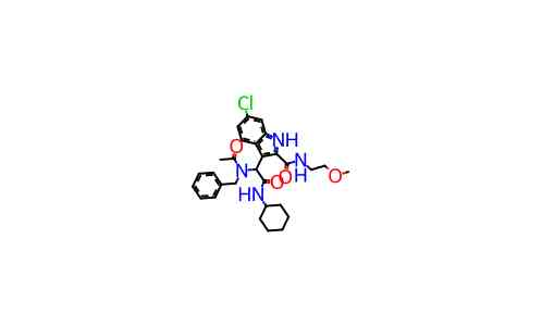 COCCNC(=O)c1[nH]c2cc(Cl)ccc2c1C(C(=O)NC1CCCCC1)N(Cc1ccccc1)C(C)=O